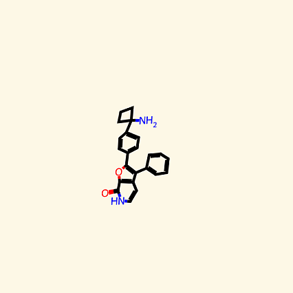 NC1(c2ccc(-c3oc4c(=O)[nH]ccc4c3-c3ccccc3)cc2)CCC1